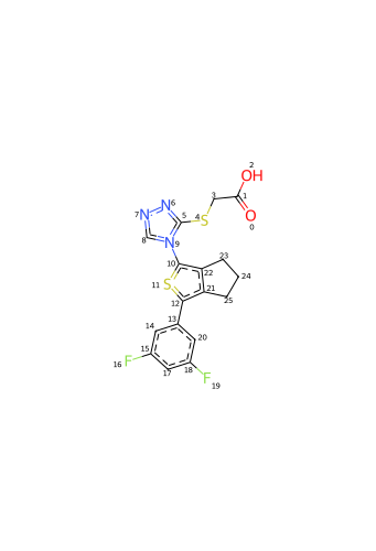 O=C(O)CSc1nncn1-c1sc(-c2cc(F)cc(F)c2)c2c1CCC2